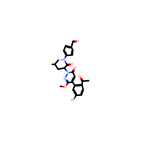 COc1nn(C(CC(C)C)C(=O)Nc2ccc(C=O)cc2)c(=O)cc1-c1cc(Cl)ccc1C(C)=O